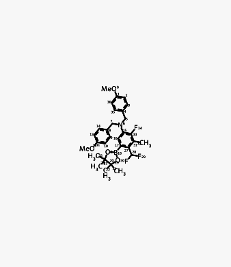 COc1ccc(CN(Cc2ccc(OC)cc2)c2cc(B3OC(C)(C)C(C)(C)O3)c(C(F)F)c(C)c2F)cc1